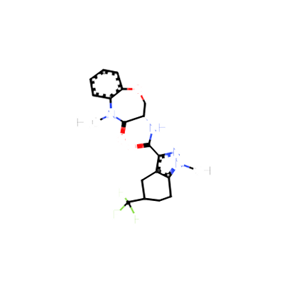 CN1C(=O)[C@@H](NC(=O)c2nn(C)c3c2CC(C(F)(F)F)CC3)COc2ccccc21